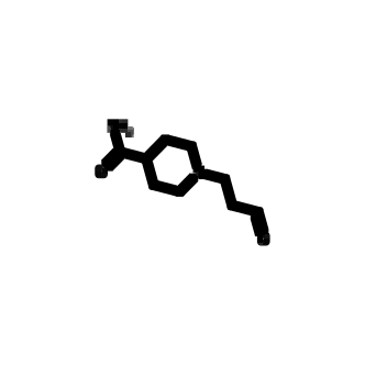 NC(=O)C1CCN(CCC=O)CC1